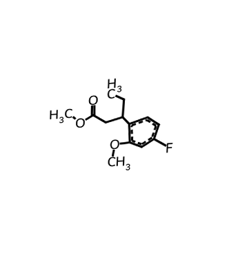 CCC(CC(=O)OC)c1ccc(F)cc1OC